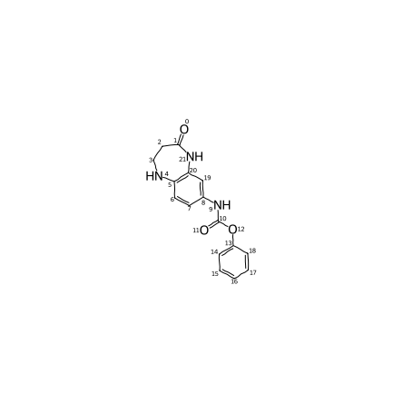 O=C1CCNc2ccc(NC(=O)Oc3ccccc3)cc2N1